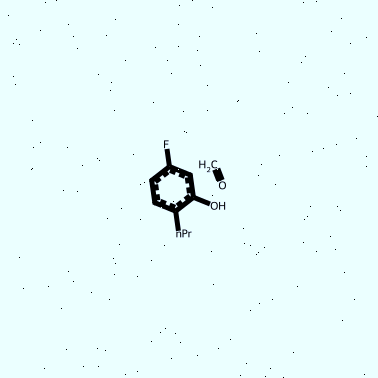 C=O.CCCc1ccc(F)cc1O